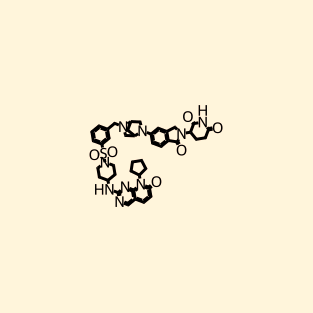 O=C1CCC(N2Cc3cc(N4CC5CC4CN5Cc4cccc(S(=O)(=O)N5CCC(Nc6ncc7ccc(=O)n(C8CCCC8)c7n6)CC5)c4)ccc3C2=O)C(=O)N1